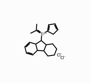 C[C](C)=[Ti+2]([C]1=CC=CC1)[CH]1C2C=CC=CC2C2CCCCC21.[Cl-].[Cl-]